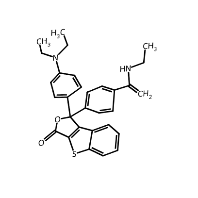 C=C(NCC)c1ccc(C2(c3ccc(N(CC)CC)cc3)OC(=O)c3sc4ccccc4c32)cc1